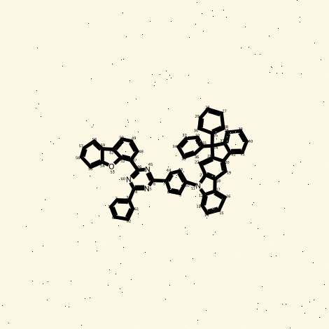 c1ccc(-c2nc(-c3ccc(-n4c5ccccc5c5cc6c(cc54)C(c4ccccc4)(c4ccccc4)c4ccccc4-6)cc3)nc(-c3cccc4c3oc3ccccc34)n2)cc1